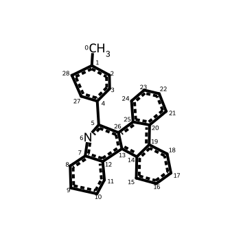 Cc1ccc(-c2nc3ccccc3c3c4ccccc4c4ccccc4c23)cc1